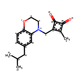 Cc1c(CN2CCOc3ccc(CC(C)C)cc32)c(=O)c1=O